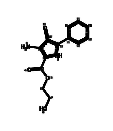 Nc1c(C(=O)OCCO)[nH]n(-c2ccccc2)c1=O